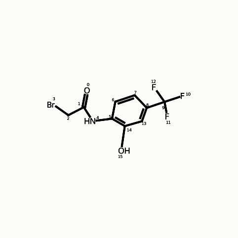 O=C(CBr)Nc1ccc(C(F)(F)F)cc1O